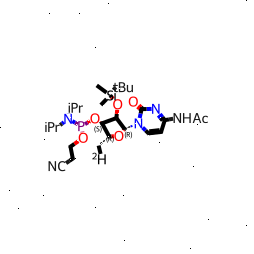 [2H]C[C@H]1O[C@@H](n2ccc(NC(C)=O)nc2=O)C(O[Si](C)(C)C(C)(C)C)[C@H]1OP(OCCC#N)N(C(C)C)C(C)C